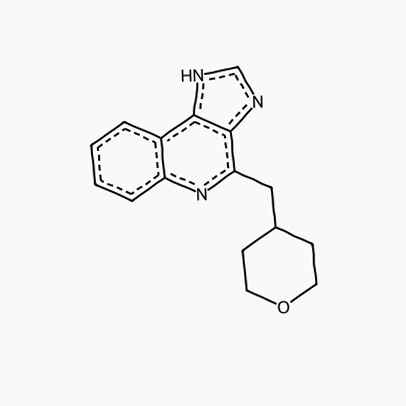 c1ccc2c(c1)nc(CC1CCOCC1)c1nc[nH]c12